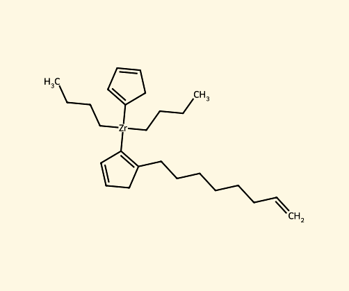 C=CCCCCCCC1=[C]([Zr]([CH2]CCC)([CH2]CCC)[C]2=CC=CC2)C=CC1